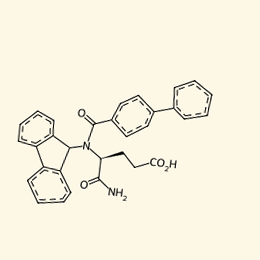 NC(=O)[C@H](CCC(=O)O)N(C(=O)c1ccc(-c2ccccc2)cc1)C1c2ccccc2-c2ccccc21